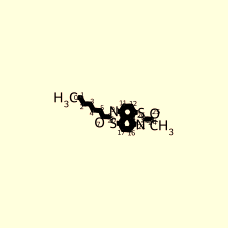 CCCCCCC(=O)C1=Nc2ccc3c4c(ccc(c24)S1)N=C(C(C)=O)S3